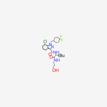 CC(C)(C)[C@H](NC(=O)c1nn(CC2CCC(F)(F)CC2)c2c(Cl)cccc12)C(=O)NCCCO